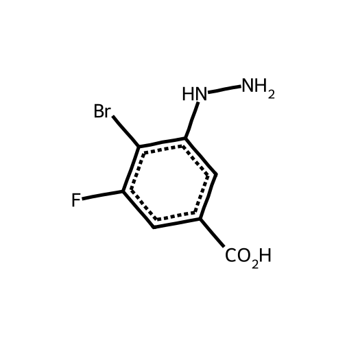 NNc1cc(C(=O)O)cc(F)c1Br